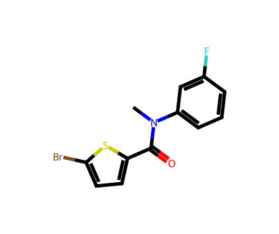 CN(C(=O)c1ccc(Br)s1)c1cccc(F)c1